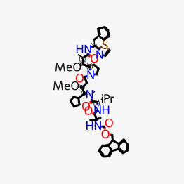 CO[C@H]([C@@H](C)C(=O)N[C@@H](Cc1ccccc1)c1nccs1)[C@@H]1CCCN1C(=O)C[C@@H](OC)[C@H](C1CCCC1)N(C)C(=O)[C@@H](NC(=O)C(C)(C)NC(=O)OCC1c2ccccc2-c2ccccc21)C(C)C